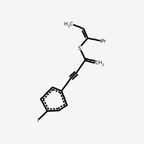 C=C(C#Cc1ccc(I)cc1)S/C(=C\C)C(C)C